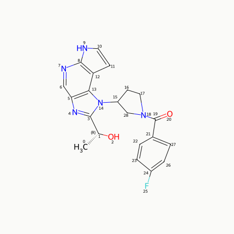 C[C@@H](O)c1nc2cnc3[nH]ccc3c2n1C1CCN(C(=O)c2ccc(F)cc2)C1